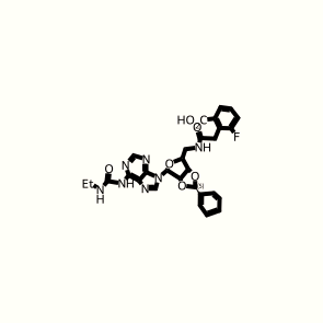 CCNC(=O)Nc1ncnc2c1ncn2C1OC(CNC(=O)Cc2c(F)cccc2C(=O)O)C2O[C@H](c3ccccc3)OC21